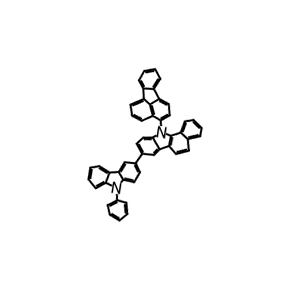 c1ccc(-n2c3ccccc3c3cc(-c4ccc5c(c4)c4ccc6ccccc6c4n5-c4ccc5c6c(cccc46)-c4ccccc4-5)ccc32)cc1